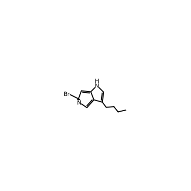 CCCCc1c[nH]c2cc(Br)ncc12